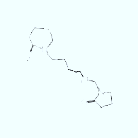 O=C1CCCCN1CCCCOCN1CCCC1=O